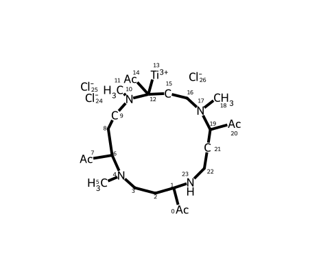 CC(=O)C1CCN(C)C(C(C)=O)CCN(C)[C]([Ti+3])(C(C)=O)CCN(C)C(C(C)=O)CCN1.[Cl-].[Cl-].[Cl-]